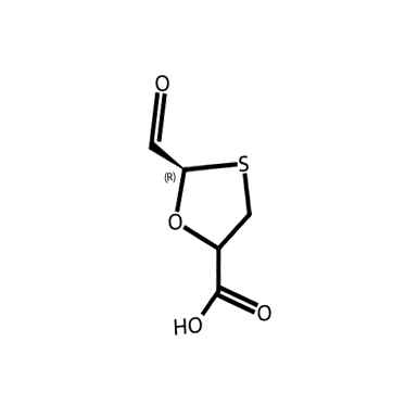 O=C[C@@H]1OC(C(=O)O)CS1